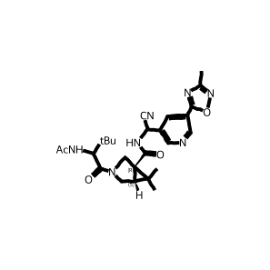 CC(=O)NC(C(=O)N1C[C@H]2C(C)(C)[C@@]2(C(=O)NC(C#N)c2cncc(-c3nc(C)no3)c2)C1)C(C)(C)C